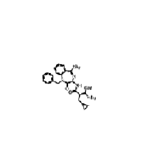 CCCCC(O)C(CC1CC1)C(=O)NC1N=C(C(C)(C)C)c2ccccc2N(Cc2ccccc2)C1=O